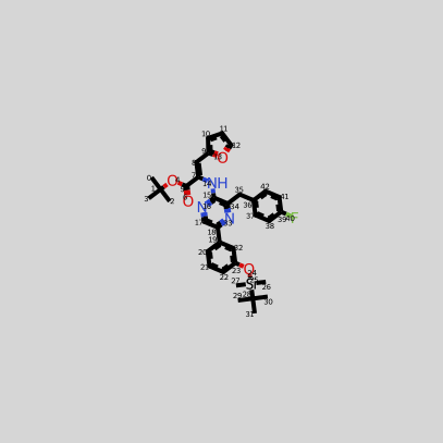 CC(C)(C)OC(=O)/C(=C/c1ccco1)Nc1ncc(-c2cccc(O[Si](C)(C)C(C)(C)C)c2)nc1Cc1ccc(F)cc1